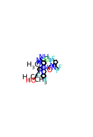 Cn1nc(N)c2c(Cl)ccc(-c3ccc(C#CC(C)(C)O)nc3C(Cc3cc(F)cc(F)c3)NC(=O)Cn3nc(C(F)F)c4c3C(F)(F)CC4)c21